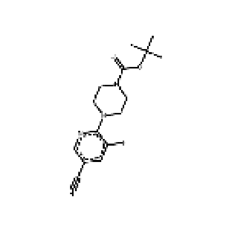 CC(C)(C)OC(=O)N1CCN(c2ncc(C#N)cc2F)CC1